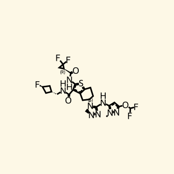 Cn1nc(OC(F)F)cc1Nc1nncn1[C@H]1CCc2sc(NC(=O)[C@H]3CC3(F)F)c(C(=O)NC[C@H]3C[C@H](F)C3)c2C1